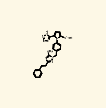 CCCCCc1ccc(-c2nnn[nH]2)n1-c1ccc(Cn2nc(CCc3ccccc3)nc2CCCC)cc1